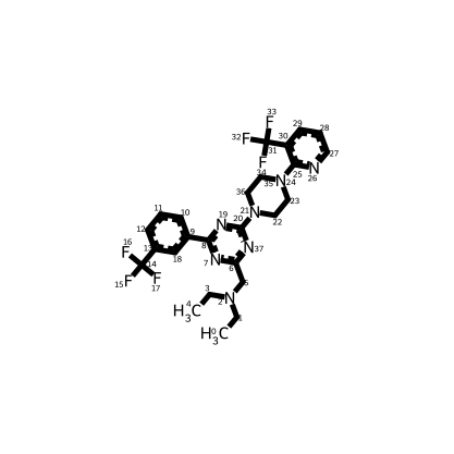 CCN(CC)Cc1nc(-c2cccc(C(F)(F)F)c2)nc(N2CCN(c3ncccc3C(F)(F)F)CC2)n1